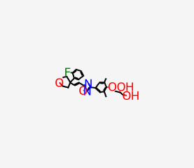 Cc1cc(-c2noc(/C=C/C3(c4ccccc4F)CCOCC3)n2)cc(C)c1OC[C@@H](O)CO